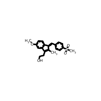 COc1ccc2c(c1)C(CCO)=C(C)C2=Cc1ccc(S(C)(=O)=O)cc1